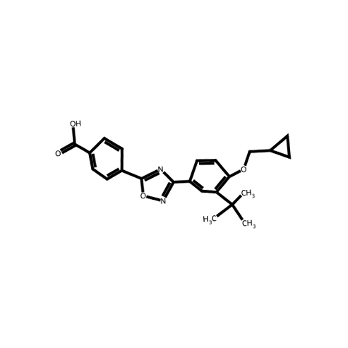 CC(C)(C)c1cc(-c2noc(-c3ccc(C(=O)O)cc3)n2)ccc1OCC1CC1